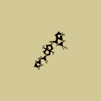 Cc1nc(N[C@@H]2C[C@@H]3CN(C(=O)Nc4nncs4)C[C@@H]3C2)c2cc[nH]c2n1